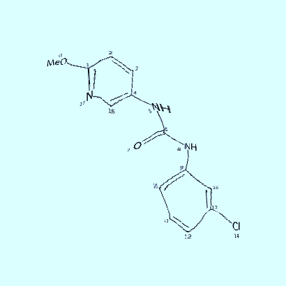 COc1ccc(NC(=O)Nc2cccc(Cl)c2)cn1